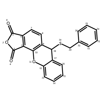 O=C1OC(=O)c2c1ccc1c2Oc2ccccc2C1SCc1ccccc1